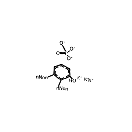 CCCCCCCCCc1cccc(O)c1CCCCCCCCC.O=P([O-])([O-])[O-].[K+].[K+].[K+]